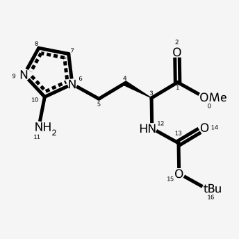 COC(=O)[C@H](CCn1ccnc1N)NC(=O)OC(C)(C)C